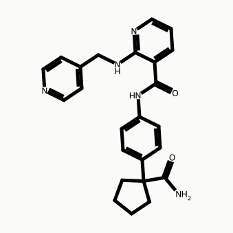 NC(=O)C1(c2ccc(NC(=O)c3cccnc3NCc3ccncc3)cc2)CCCC1